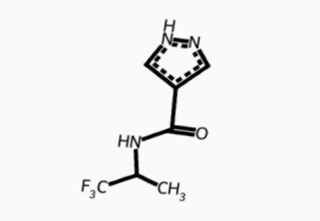 CC(NC(=O)c1cn[nH]c1)C(F)(F)F